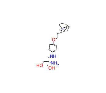 NC(CO)(CO)CNc1ccc(OCC/C=C2\C3CC4CC(C3)C2C4)cc1